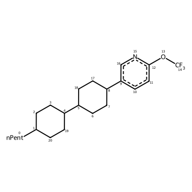 CCCCCC1CCC(C2CCC(c3ccc(OC(F)(F)F)nc3)CC2)CC1